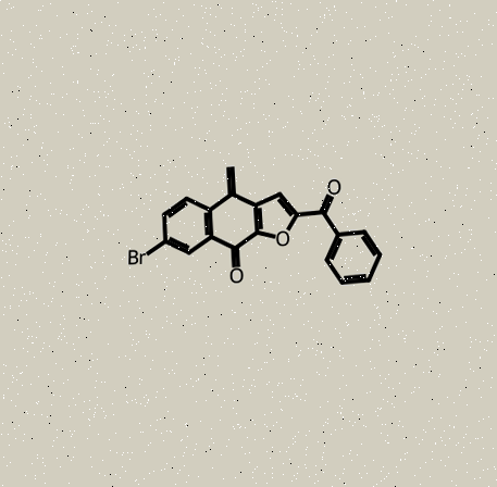 C=C1c2ccc(Br)cc2C(=O)c2oc(C(=O)c3ccccc3)cc21